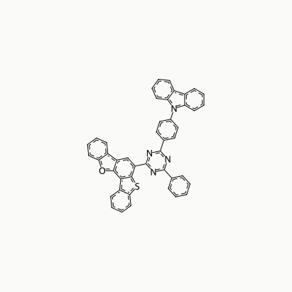 c1ccc(-c2nc(-c3ccc(-n4c5ccccc5c5ccccc54)cc3)nc(-c3cc4c5ccccc5oc4c4c3sc3ccccc34)n2)cc1